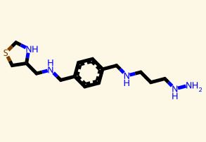 NNCCCNCc1ccc(CNCC2CSCN2)cc1